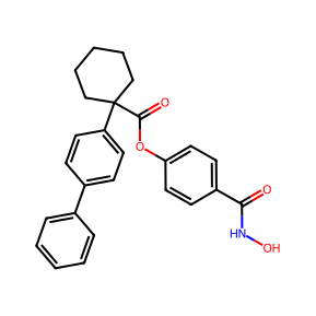 O=C(NO)c1ccc(OC(=O)C2(c3ccc(-c4ccccc4)cc3)CCCCC2)cc1